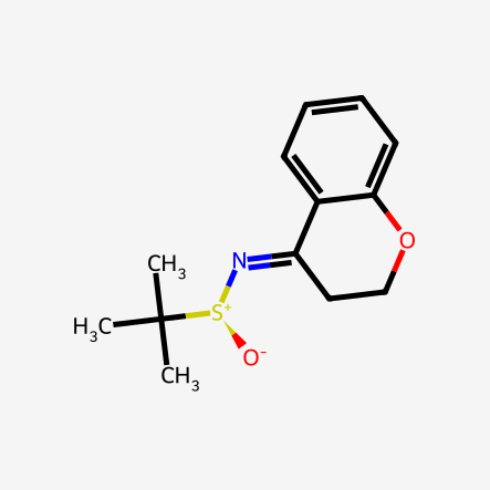 CC(C)(C)[S@+]([O-])/N=C1\CCOc2ccccc21